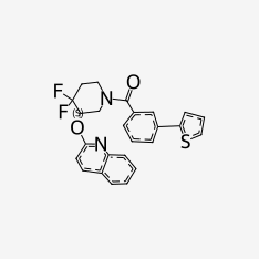 O=C(c1cccc(-c2cccs2)c1)N1CCC(F)(F)[C@@H](Oc2ccc3ccccc3n2)C1